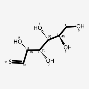 OC[C@@H](O)[C@@H](O)[C@H](O)[C@@H](O)C=S